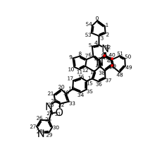 c1ccc(-c2cc(-c3ccccc3-c3c(-c4ccc(-c5ccc6nc(-c7ccncc7)oc6c5)cc4)ccc4ccccc34)nc(-c3ccccc3)n2)cc1